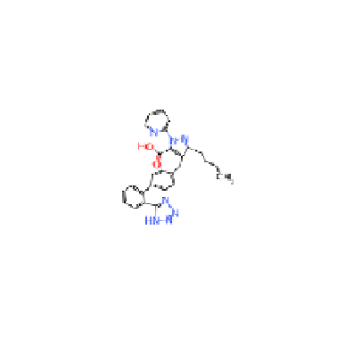 CCCCc1nn(-c2ccccn2)c(C(=O)O)c1Cc1ccc(-c2ccccc2-c2nnn[nH]2)cc1